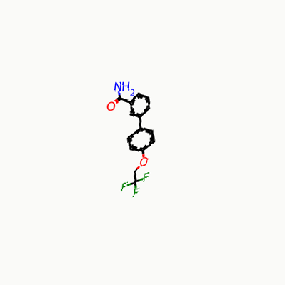 NC(=O)c1cccc(-c2ccc(OCC(F)(F)F)cc2)c1